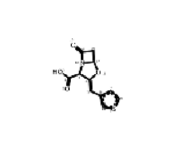 O=C(O)C1/C(=C/c2ccsc2)OC2CC(=O)N21